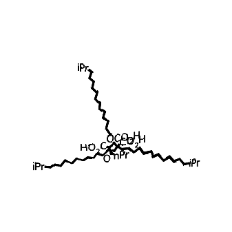 CCCC(=O)C(C(=O)O)C(OCCCCCCCCCCCCCC(C)C)(C(=O)O)C(CCCCCCCCCCCCCC(C)C)(CCCCCCCCCCCCCC(C)C)C(=O)O